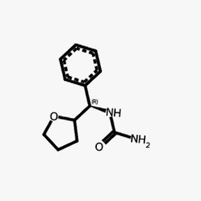 NC(=O)N[C@H](c1ccccc1)C1CCCO1